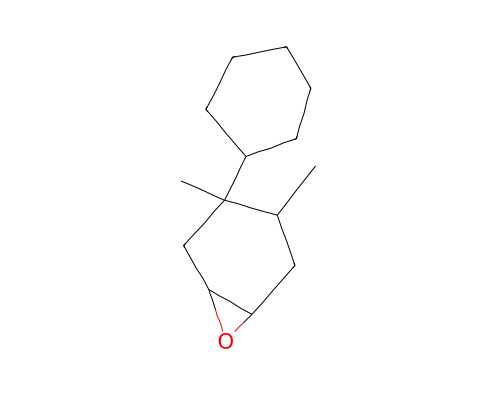 CC1CC2OC2CC1(C)C1CCCCC1